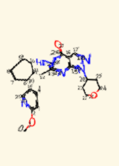 COc1ccc([C@@H]2CCCC[C@@H]2Cc2nc3c(cnn3C3CCOCC3)c(=O)[nH]2)cn1